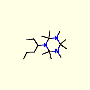 CCCC(CC)N1C(C)(C)N(C)C(C)(C)N(C)C1(C)C